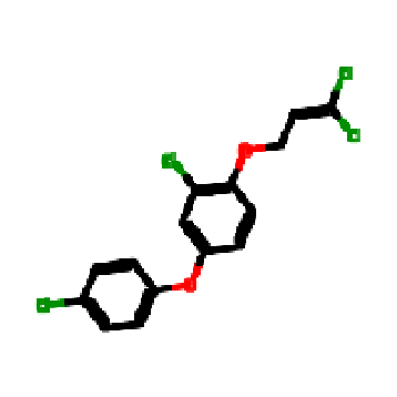 ClC(Cl)=CCOc1ccc(Oc2ccc(Cl)cc2)cc1Cl